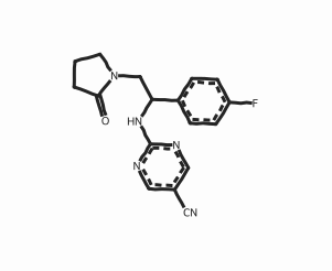 N#Cc1cnc(NC(CN2CCCC2=O)c2ccc(F)cc2)nc1